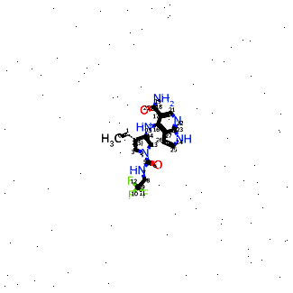 CC[C@H]1CN(C(=O)NCC(F)(F)F)C[C@@H]1Nc1c(C(N)=O)cnc2[nH]ccc12